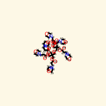 O=C(CCN1CCOCC1)OCC(COCC(COC(=O)CCN1CCOCC1)(COC(=O)CCN1CCOCC1)COC(=O)CCN1CCOCC1)(COC(=O)CCN1CCOCC1)COC(=O)CCN1CCOCC1